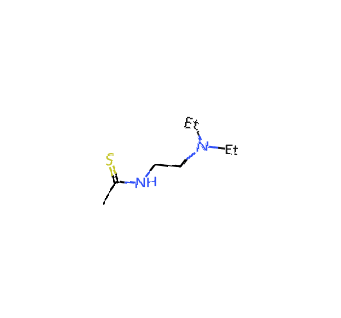 CCN(CC)CCNC(C)=S